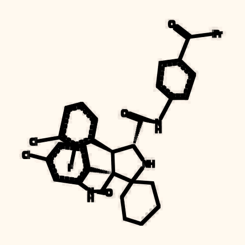 CC(C)C(=O)c1ccc(NC(=O)[C@@H]2NC3(CCCCC3)[C@@]3(C(=O)Nc4cc(Cl)ccc43)[C@H]2c2cccc(Cl)c2F)cc1